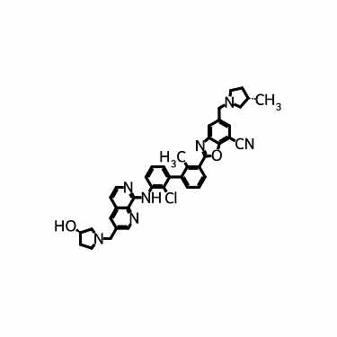 Cc1c(-c2nc3cc(CN4CC[C@H](C)C4)cc(C#N)c3o2)cccc1-c1cccc(Nc2nccc3cc(CN4CC[C@@H](O)C4)cnc23)c1Cl